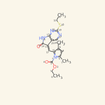 CCOC(=O)n1c(C)cc(C)c1C=C1C(=O)Nc2nc(SCC)ncc21